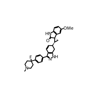 COc1ccc2c(c1)[C@]1(C[C@H]1C1C=Cc3c(-c4ccc(C5(F)CCN(C)CC5)cc4)n[nH]c3C1)C(=O)N2